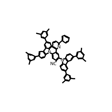 Cc1cc(C)cc(-c2ccc3c(c2)c2cc(-c4cc(C)cc(C)c4)ccc2n3-c2cc(-c3cccc(-c4ccccc4)n3)c(-n3c4ccc(-c5cc(C)cc(C)c5)cc4c4cc(-c5cc(C)cc(C)c5)ccc43)cc2C#N)c1